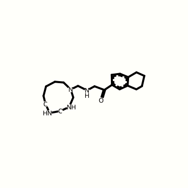 O=C(CNCN1CCCCCNCNC1)c1ccc2c(c1)CCCC2